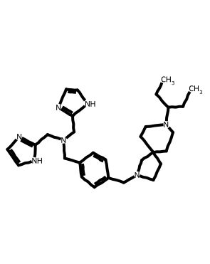 CCC(CC)N1CCC2(CCN(Cc3ccc(CN(Cc4ncc[nH]4)Cc4ncc[nH]4)cc3)C2)CC1